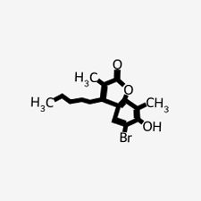 CCCCCc1c(C)c(=O)oc2c(C)c(O)c(Br)cc12